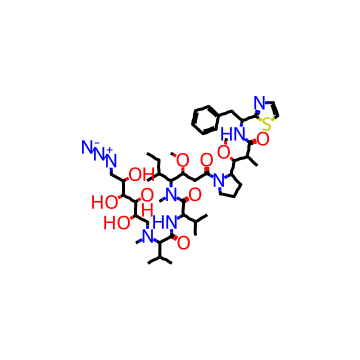 CCC(C)C(C(CC(=O)N1CCCC1C(OC)C(C)C(=O)NC(Cc1ccccc1)c1nccs1)OC)N(C)C(=O)C(NC(=O)C(C(C)C)N(C)CC(O)C(O)C(O)C(O)CN=[N+]=[N-])C(C)C